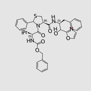 CC(C)[C@H](NC(=O)OCc1ccccc1)C(=O)N1C(c2ccccc2)SC[C@H]1C(=O)N[C@@H](Cc1ccccc1)C(O)c1ncco1